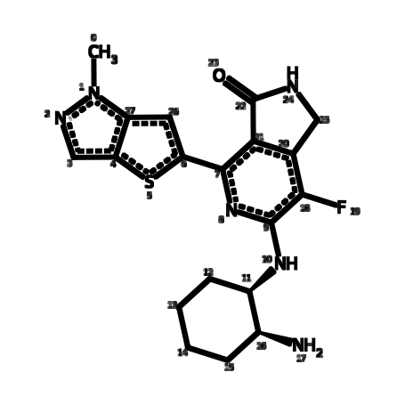 Cn1ncc2sc(-c3nc(N[C@@H]4CCCC[C@@H]4N)c(F)c4c3C(=O)NC4)cc21